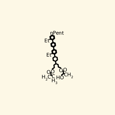 C=C(C)C(=O)OCCCC(CCCOC(=O)C(=C)CO)C1CCC(c2ccc(-c3ccc(-c4ccc(CCCCC)cc4CC)cc3)cc2CC)CC1